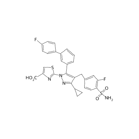 NS(=O)(=O)c1ccc(Cc2c(C3CC3)nn(-c3nc(C(=O)O)cs3)c2-c2cccc(-c3ccc(F)cc3)c2)cc1F